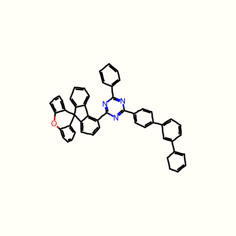 C1=CCCC(c2cccc(-c3ccc(-c4nc(-c5ccccc5)nc(-c5cccc6c5-c5ccccc5C65c6ccccc6Oc6ccccc65)n4)cc3)c2)=C1